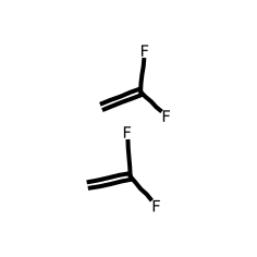 C=C(F)F.C=C(F)F